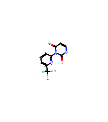 O=c1cc[nH]c(=O)n1-c1cccc(C(F)(F)F)n1